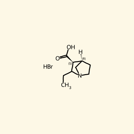 Br.CCC1[C@@H](C(=O)O)[C@H]2CCN1C2